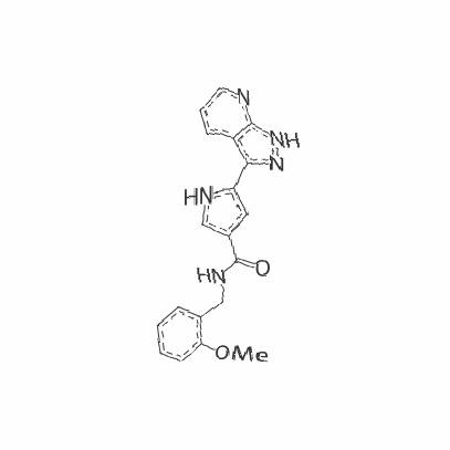 COc1ccccc1CNC(=O)c1c[nH]c(-c2n[nH]c3ncccc23)c1